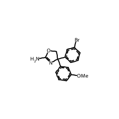 COc1cccc(C2(c3cccc(Br)c3)COC(N)=N2)c1